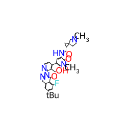 CN1CC[C@@]2(C[C@H]2C(=O)Nc2cc(-c3ccnc(-n4ncc5cc(C(C)(C)C)cc(F)c5c4=O)c3CO)cn(C)c2=O)C1